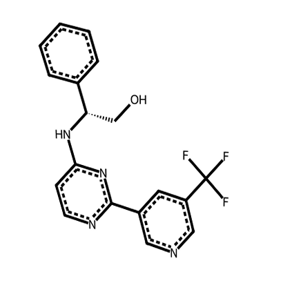 OC[C@H](Nc1ccnc(-c2cncc(C(F)(F)F)c2)n1)c1ccccc1